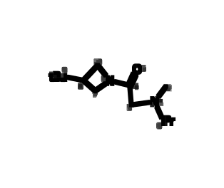 CC(C)N(C)CC(=O)N1CC(C(C)(C)C)C1